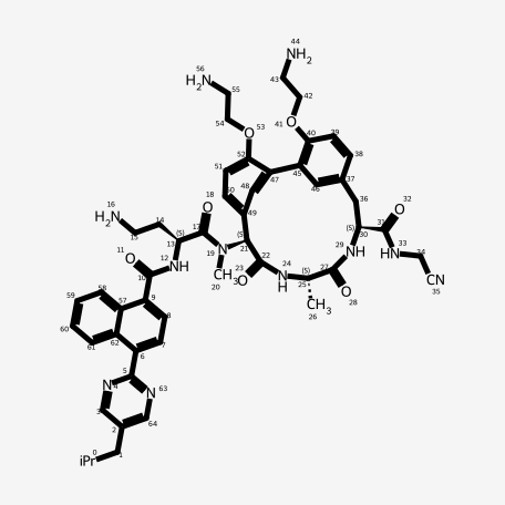 CC(C)Cc1cnc(-c2ccc(C(=O)N[C@@H](CCN)C(=O)N(C)[C@@H]3C(=O)N[C@@H](C)C(=O)N[C@H](C(=O)NCC#N)Cc4ccc(OCCN)c(c4)-c4cc3ccc4OCCN)c3ccccc23)nc1